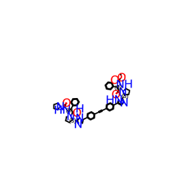 COC(=O)N[C@@H](C(=O)N1CCC[C@H]1c1ncc(-c2ccc(C#Cc3ccc(-c4cnc([C@@H]5CCCN5C(=O)[C@H](NC(=O)N5CCCC5)c5ccccc5)[nH]4)cc3)cc2)[nH]1)c1ccccc1